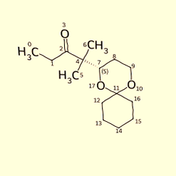 CCC(=O)C(C)(C)[C@@H]1CCOC2(CCCCC2)O1